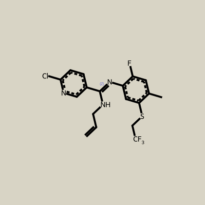 C=CCN/C(=N\c1cc(SCC(F)(F)F)c(C)cc1F)c1ccc(Cl)nc1